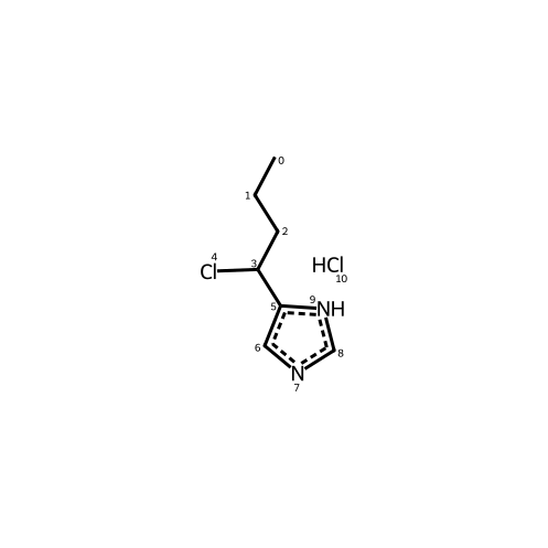 CCCC(Cl)c1cnc[nH]1.Cl